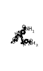 C=C(/C=C\NN(CCn1c(C)nc2cc(C(N)=O)ccc21)c1ccc(C(N)=O)cc1NC)SC(=C)C(=O)OCC